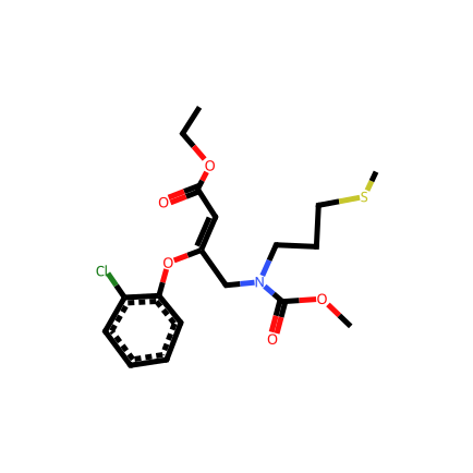 CCOC(=O)C=C(CN(CCCSC)C(=O)OC)Oc1ccccc1Cl